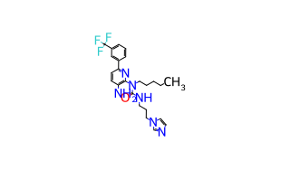 CCCCCN(C(=O)NCCCn1ccnc1)c1nc(-c2cccc(C(F)(F)F)c2)ccc1N